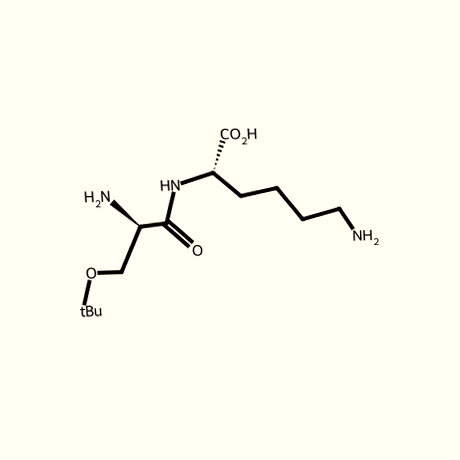 CC(C)(C)OC[C@@H](N)C(=O)N[C@@H](CCCCN)C(=O)O